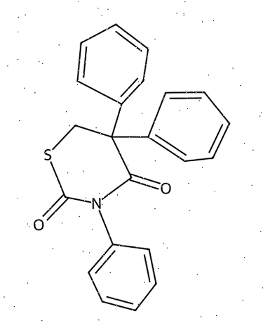 O=C1SCC(c2ccccc2)(c2ccccc2)C(=O)N1c1ccccc1